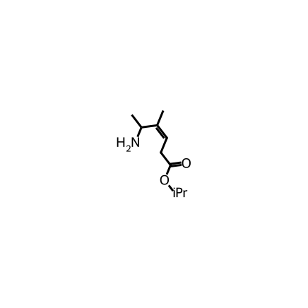 CC(=CCC(=O)OC(C)C)C(C)N